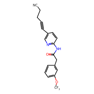 N#CCCC#Cc1ccc(NC(=O)Cc2cccc(OC(F)(F)F)c2)nc1